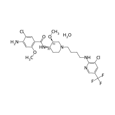 COc1cc(N)c(Cl)cc1C(=O)N[C@@H]1CCN(CCCCNc2ncc(C(F)(F)F)cc2Cl)C[C@@H]1OC.O